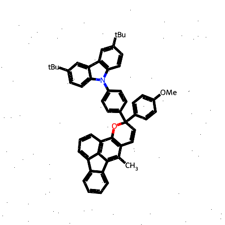 COc1ccc(C2(c3ccc(-n4c5ccc(C(C)(C)C)cc5c5cc(C(C)(C)C)ccc54)cc3)C=Cc3c(C)c4c5c(cccc5c3O2)-c2ccccc2-4)cc1